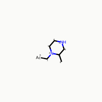 CC(=O)CN1CCNCC1C